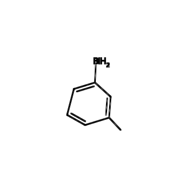 Cc1ccc[c]([BiH2])c1